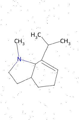 CC(C)C1=CCCC2CCN(C)C12